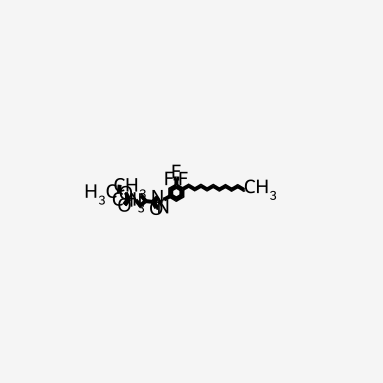 CCCCCCCCCCCc1ccc(-c2noc(C3CN(C(=O)OC(C)(C)C)C3)n2)cc1C(F)(F)F